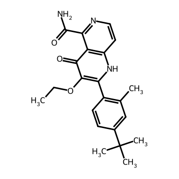 CCOc1c(-c2ccc(C(C)(C)C)cc2C)[nH]c2ccnc(C(N)=O)c2c1=O